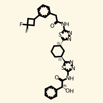 O=C(Cc1cccc(C2CC(F)(F)C2)c1)Nc1nnc([C@H]2CCC[C@H](c3nnc(NC(=O)[C@H](O)c4ccccc4)s3)C2)s1